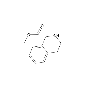 COC=O.c1ccc2c(c1)CCNC2